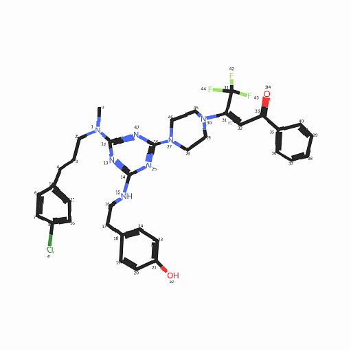 CN(CCCc1ccc(Cl)cc1)c1nc(NCCc2ccc(O)cc2)nc(N2CCN(/C(=C/C(=O)c3ccccc3)C(F)(F)F)CC2)n1